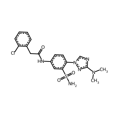 CN(C)c1ncn(-c2ccc(NC(=O)Cc3ccccc3Cl)cc2S(N)(=O)=O)n1